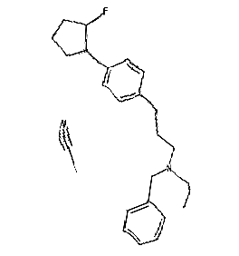 CC#N.CCN(CCCc1ccc(C2CCCC2F)cc1)Cc1ccccc1